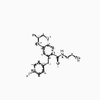 CC1COc2nc(C(=O)NCCO)c(Cc3ccc(F)cc3)cc2N1